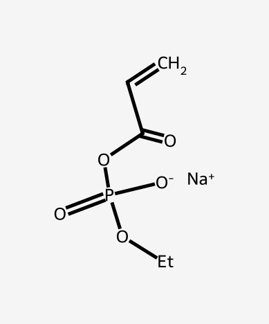 C=CC(=O)OP(=O)([O-])OCC.[Na+]